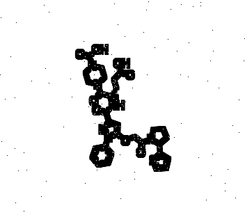 O=C(O)CC[C@H](NC(=O)c1cc(OCC(=O)N2CCCC2c2cccs2)n(-c2ccccc2)n1)C(=O)N1CCN(C(=O)O)CC1